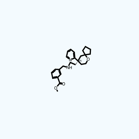 COC(=O)c1cccc(CNCC[C@@]2(c3ccccn3)CCOC3(CCCC3)C2)c1